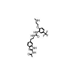 CNCCOc1ccc(C(F)(F)F)cc1NC(=O)NCCc1ccc2nc(NC(C)=O)[nH]c2c1